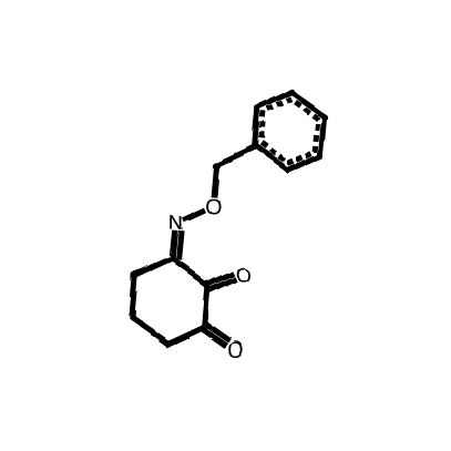 O=C1CCCC(=NOCc2ccccc2)C1=O